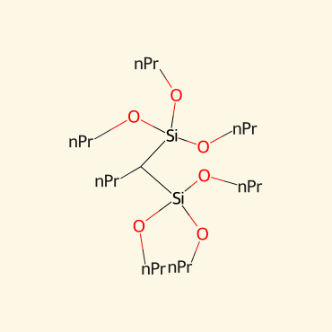 CCCO[Si](OCCC)(OCCC)C(CCC)[Si](OCCC)(OCCC)OCCC